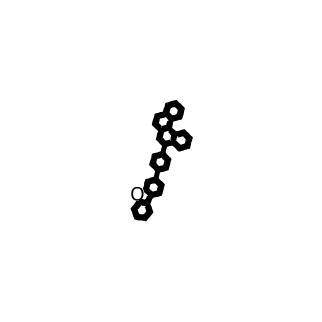 c1ccc2c(c1)ccc1cc(-c3ccc(-c4ccc5c(c4)oc4ccccc45)cc3)c3ccccc3c12